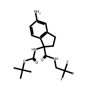 CC(C)(C)OC(=O)NC1(C(=O)NCC(F)(F)F)CCc2cc(N)ccc21